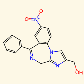 O=[N+]([O-])c1ccc2c(c1)C(c1ccccc1)=NCc1nc(CO)cn1-2